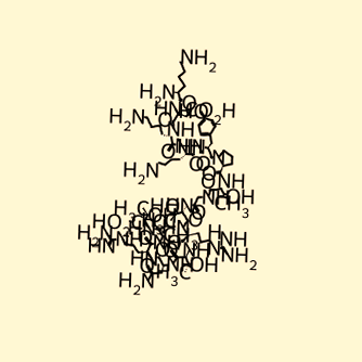 C[C@H](NC(=O)[C@H](CCCNC(=N)N)NC(=O)[C@H](CC(N)=O)NC(=O)[C@@H](NC(=O)[C@H](CCCNC(=N)N)NC(=O)[C@@H](NC(=O)CNC(=O)[C@@H](NC(=O)[C@@H]1CCCN1C(=O)[C@H](Cc1ccc(O)cc1)NC(=O)[C@H](CCCCN)NC(=O)[C@H](CCCCN)NC(=O)[C@H](CC(=O)O)NC(=O)[C@@H](N)CCCCN)[C@@H](C)O)[C@@H](C)O)[C@@H](C)O)C(=O)N[C@H](C(=O)O)[C@@H](C)O